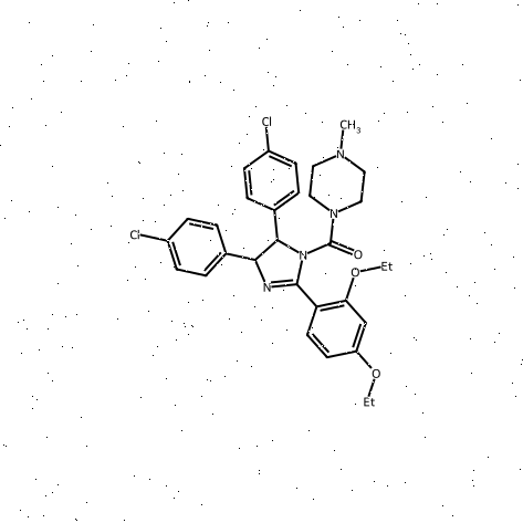 CCOc1ccc(C2=NC(c3ccc(Cl)cc3)C(c3ccc(Cl)cc3)N2C(=O)N2CCN(C)CC2)c(OCC)c1